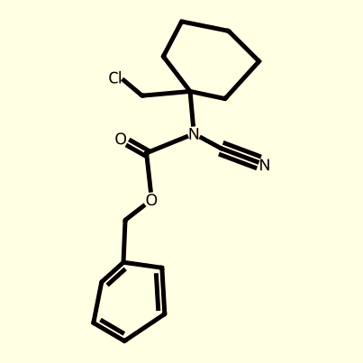 N#CN(C(=O)OCc1ccccc1)C1(CCl)CCCCC1